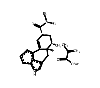 C=C(C)C(=O)OC.CCN(CC)C(=O)[C@@H]1C=C2c3cccc4[nH]cc(c34)C[C@H]2N(C)C1